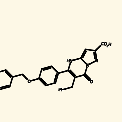 CC(C)Cc1c(-c2ccc(OCc3ccccc3)cc2)[nH]c2cc(C(=O)O)nn2c1=O